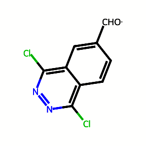 O=[C]c1ccc2c(Cl)nnc(Cl)c2c1